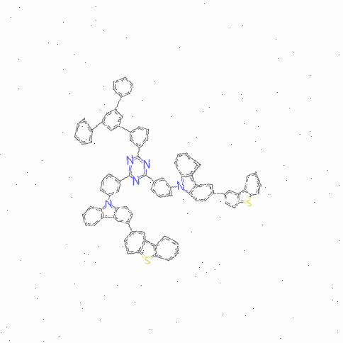 c1ccc(-c2cc(-c3ccccc3)cc(-c3cccc(-c4nc(-c5cccc(-n6c7ccccc7c7cc(-c8ccc9sc%10ccccc%10c9c8)ccc76)c5)nc(-c5cccc(-n6c7ccccc7c7cc(-c8ccc9sc%10ccccc%10c9c8)ccc76)c5)n4)c3)c2)cc1